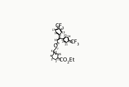 CCOC(=O)C1CCCN(CCOCC=C(c2ccc(C(F)(F)F)cc2)c2ccc(C(F)(F)F)cc2)C1